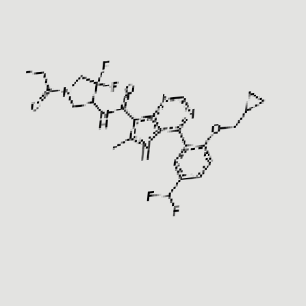 CCC(=O)N1CC(NC(=O)c2c(C)[nH]c3c(-c4cc(C(F)F)ccc4OCC4CC4)ncnc23)C(F)(F)C1